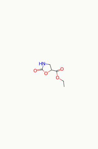 CCOC(=O)C1CNC(=O)O1